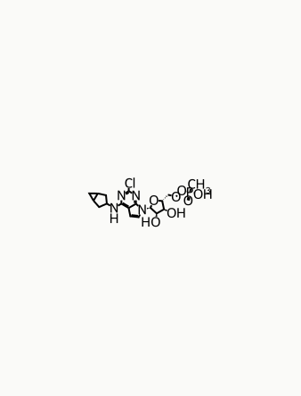 CP(=O)(O)OOC[C@H]1O[C@@H](n2ccc3c(NC4CC5CC5C4)nc(Cl)nc32)[C@H](O)[C@@H]1O